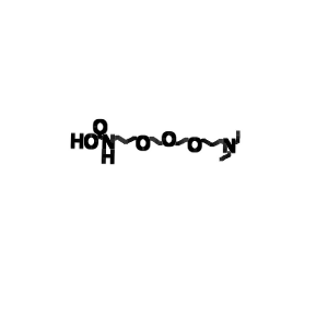 CCN(CC)CCCOCCOCCOCCCNC(=O)O